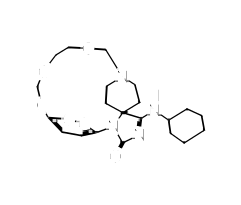 O=C1N=C(NC2CCCCC2)C23CCN(CCCCCCCC4=CC=C(CC4)N12)CC3